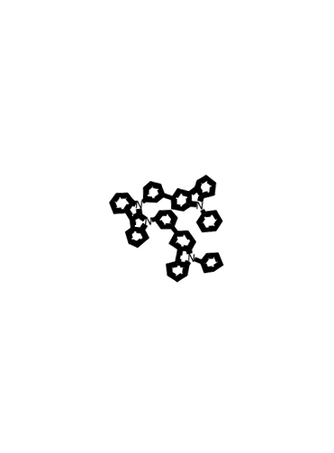 c1ccc(-n2c3ccccc3c3cc(-c4cccc(-n5c6ccccc6c6c7ccccc7n(-c7cccc(-c8ccc9c(c8)c8ccccc8n9-c8ccccc8)c7)c65)c4)ccc32)cc1